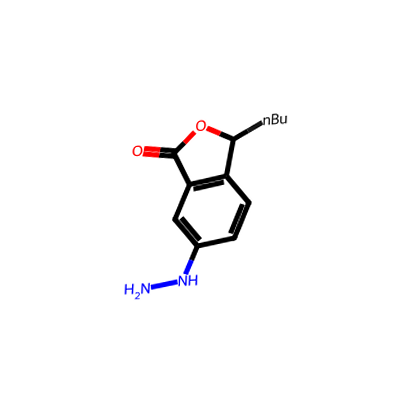 CCCCC1OC(=O)c2cc(NN)ccc21